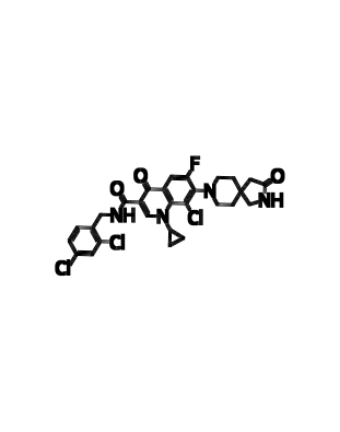 O=C1CC2(CCN(c3c(F)cc4c(=O)c(C(=O)NCc5ccc(Cl)cc5Cl)cn(C5CC5)c4c3Cl)CC2)CN1